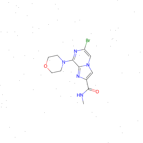 CNC(=O)c1cn2cc(Br)nc(N3CCOCC3)c2n1